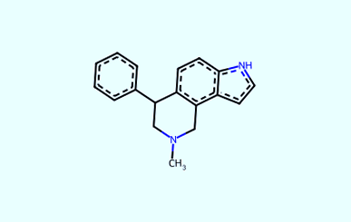 CN1Cc2c(ccc3[nH]ccc23)C(c2ccccc2)C1